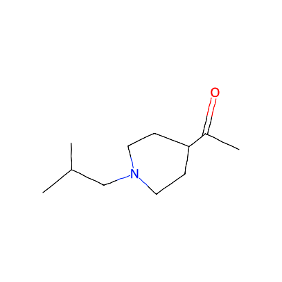 CC(=O)C1CCN(CC(C)C)CC1